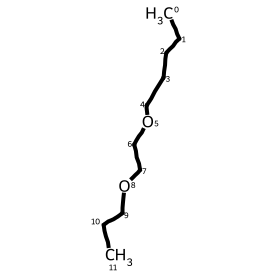 CCCCCOCCOCCC